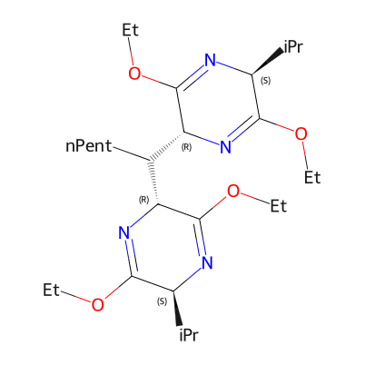 CCCCCC([C@H]1N=C(OCC)[C@H](C(C)C)N=C1OCC)[C@H]1N=C(OCC)[C@H](C(C)C)N=C1OCC